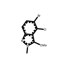 COc1c2c(Cl)c(Br)ccc2nn1C